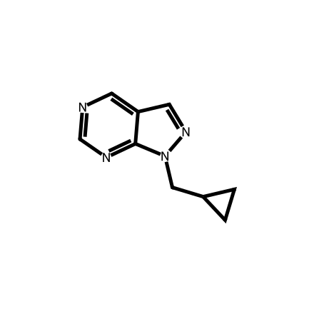 c1ncc2cnn(CC3CC3)c2n1